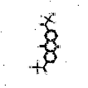 CCC(O)(CC)C(=O)c1ccc2[nH]c3ccc(C(=O)C(O)(CC)CC)cc3c(=O)c2c1